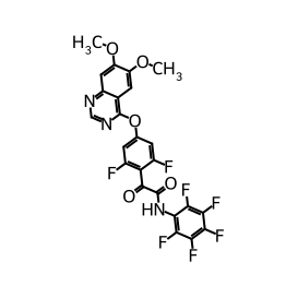 COc1cc2ncnc(Oc3cc(F)c(C(=O)C(=O)Nc4c(F)c(F)c(F)c(F)c4F)c(F)c3)c2cc1OC